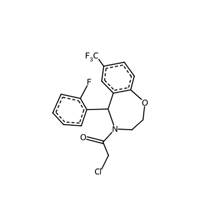 O=C(CCl)N1CCOc2ccc(C(F)(F)F)cc2C1c1ccccc1F